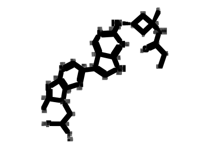 CCC(=O)N[C@]1(C)C[C@H](Nc2ncc3c(-c4cnc5nc(C)n(CC(F)F)c5n4)c[nH]c3n2)C1